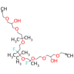 C#CCOCC(O)COCCOC(C)(F)COC(C)(C)C(C)(F)CCOC(C)(C)CCOCC(O)COCC#C